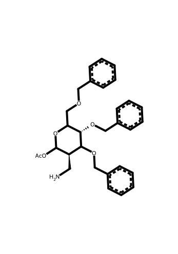 CC(=O)OC1OC(COCc2ccccc2)[C@H](OCc2ccccc2)C(OCc2ccccc2)[C@H]1CN